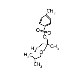 CCC(C)(COCC(C)C)COS(=O)(=O)c1ccc(C)cc1